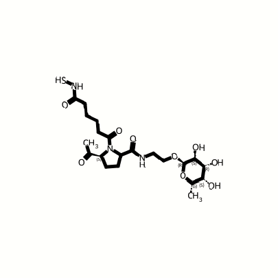 CC(=O)[C@@H]1CCC(C(=O)NCCO[C@@H]2O[C@@H](C)[C@@H](O)[C@@H](O)[C@@H]2O)N1C(=O)CCCCC(=O)NS